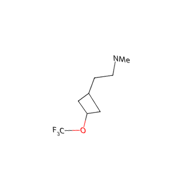 CNCCC1CC(OC(F)(F)F)C1